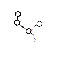 Cc1c(C#Cc2ccc(CNCCO)c(OCC3CCCCC3)c2)cccc1-c1ccccc1